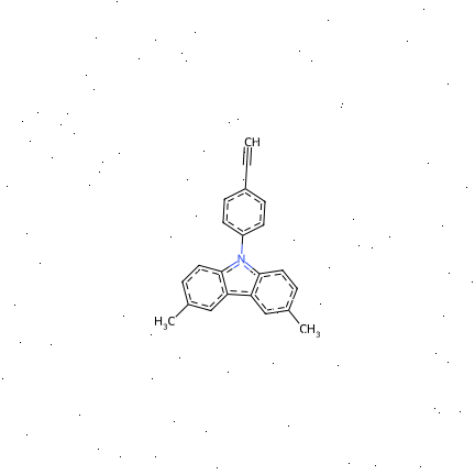 C#Cc1ccc(-n2c3ccc(C)cc3c3cc(C)ccc32)cc1